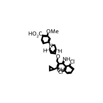 COc1cc(N2C[C@@H]3C[C@H]2C[C@H]3OC/C(C(=N)c2c(Cl)cccc2Cl)=C(/O)C2CC2)ccc1C(=O)O